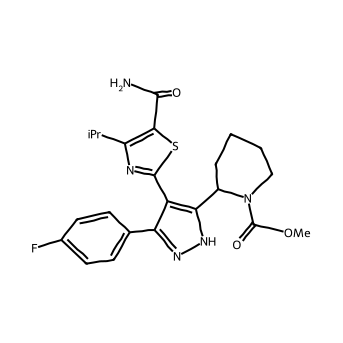 COC(=O)N1CCCCC1c1[nH]nc(-c2ccc(F)cc2)c1-c1nc(C(C)C)c(C(N)=O)s1